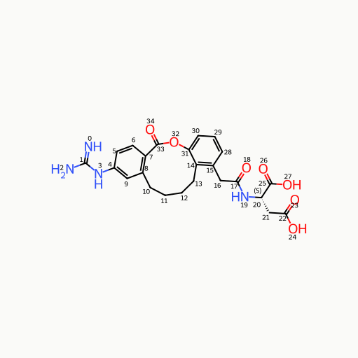 N=C(N)Nc1ccc2c(c1)CCCCc1c(CC(=O)N[C@@H](CC(=O)O)C(=O)O)cccc1OC2=O